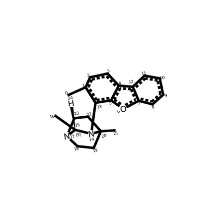 Cc1ccc2c(oc3ccccc32)c1N1[C@@H](C)N2CCC1(C)CC2